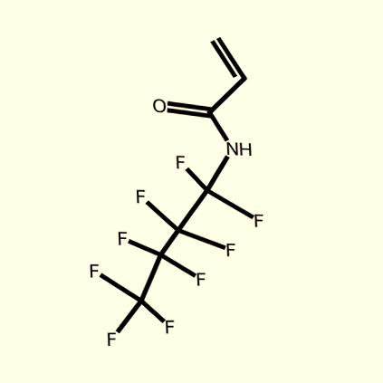 C=CC(=O)NC(F)(F)C(F)(F)C(F)(F)C(F)(F)F